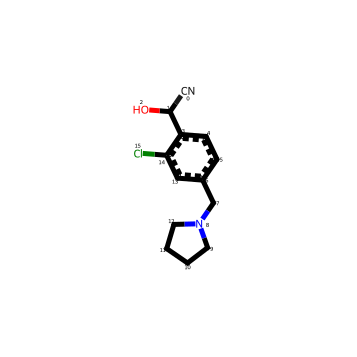 N#CC(O)c1ccc(CN2CCCC2)cc1Cl